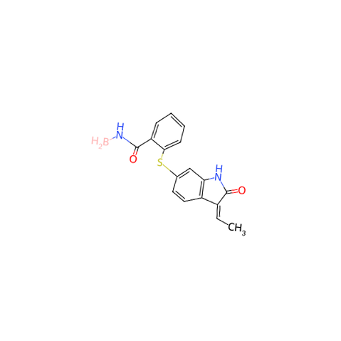 BNC(=O)c1ccccc1Sc1ccc2c(c1)NC(=O)C2=CC